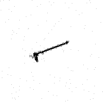 COc1ccc2[nH]c(-c3nn(CCCCNC(=O)CCCOCCOCCOCCOCCOCCOCCOCCOCCN=[N+]=[N-])c4ncnc(N)c34)cc2c1